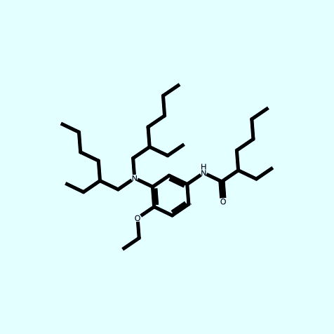 CCCCC(CC)CN(CC(CC)CCCC)c1cc(NC(=O)C(CC)CCCC)[c]cc1OCC